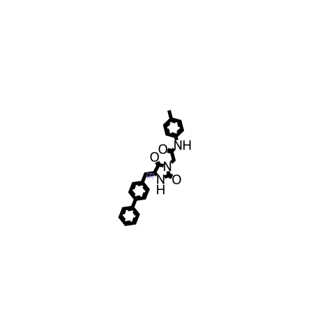 Cc1ccc(NC(=O)CN2C(=O)N/C(=C\c3ccc(-c4ccccc4)cc3)C2=O)cc1